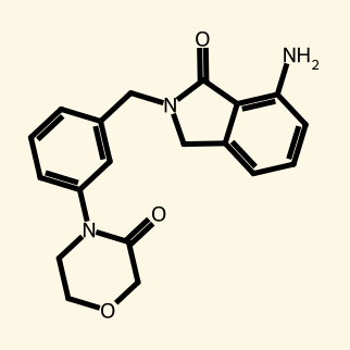 Nc1cccc2c1C(=O)N(Cc1cccc(N3CCOCC3=O)c1)C2